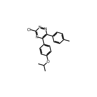 Cc1ccc(-c2nnc(Cl)nc2-c2ccc(OC(C)C)cc2)cc1